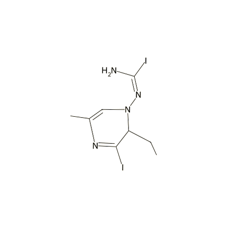 CCC1C(I)=NC(C)=CN1/N=C(\N)I